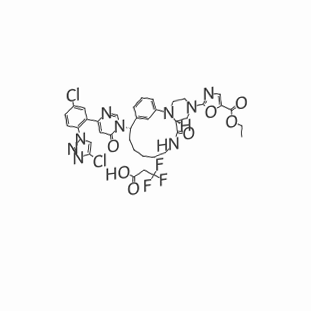 CCOC(=O)c1cnc(N2CCN3c4cccc(c4)[C@@H](n4cnc(-c5cc(Cl)ccc5-n5cc(Cl)nn5)cc4=O)CCCCCNC(=O)[C@H]3C2)o1.O=C(O)CC(F)(F)F